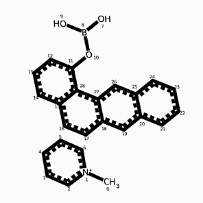 C[n+]1ccccc1.OB(O)Oc1cccc2ccc3cc4ccccc4cc3c12